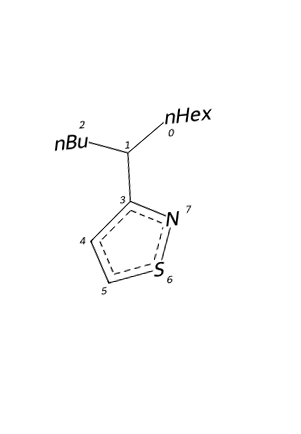 CCCCCCC(CCCC)c1ccsn1